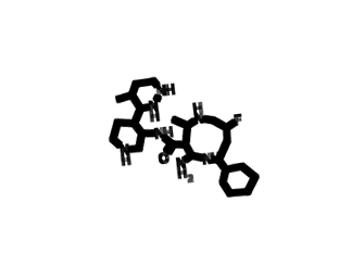 CC1CCNNC1C1CCNCC1NC(=O)C1C(C)NCC(F)CC(C2CCCCC2)NC1N